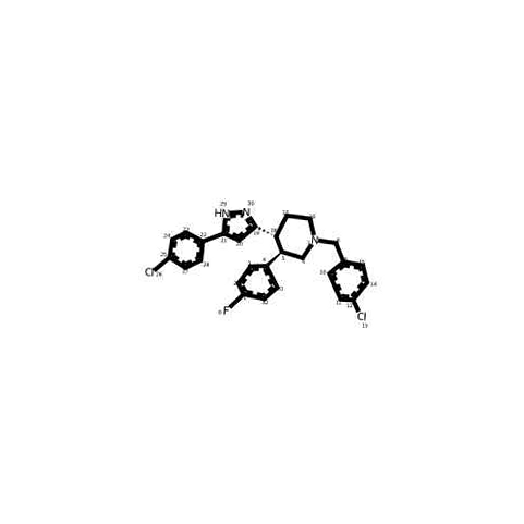 Fc1ccc([C@@H]2CN(Cc3ccc(Cl)cc3)CC[C@H]2c2cc(-c3ccc(Cl)cc3)[nH]n2)cc1